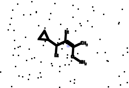 CC/C(=C(\C)ON)C(CC)C1CC1